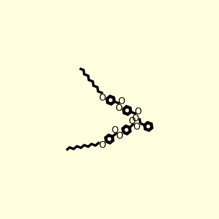 CCCCCCCCCCOc1ccc(C(=O)Oc2ccc(C(=O)OCC(OC(=O)c3ccc(OC(=O)c4ccc(OCCCCCCCCCC)cc4)cc3)c3ccccc3)cc2)cc1